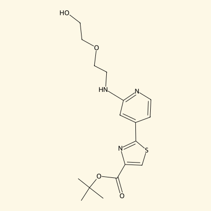 CC(C)(C)OC(=O)c1csc(-c2ccnc(NCCOCCO)c2)n1